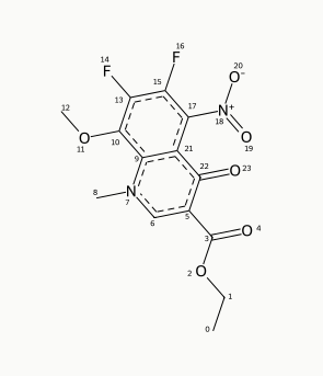 CCOC(=O)c1cn(C)c2c(OC)c(F)c(F)c([N+](=O)[O-])c2c1=O